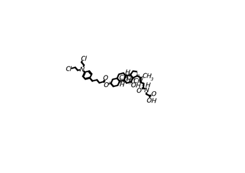 C[C@H](CCC(=O)NCC(=O)O)[C@H]1CC[C@H]2[C@@H]3CCC4C[C@H](OC(=O)CCCc5ccc(N(CCCl)CCCl)cc5)CC[C@]4(C)[C@H]3C[C@H](O)[C@]12C